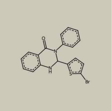 O=C1c2ccccc2NC(c2ccc(Br)s2)N1c1ccccc1